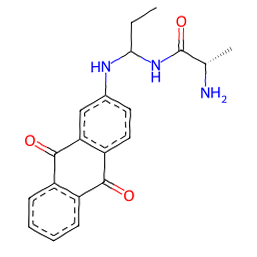 CCC(NC(=O)[C@H](C)N)Nc1ccc2c(c1)C(=O)c1ccccc1C2=O